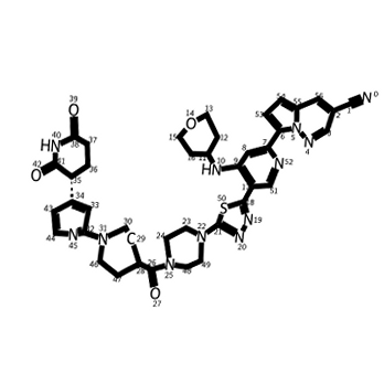 N#Cc1cnn2c(-c3cc(NC4CCOCC4)c(-c4nnc(N5CCN(C(=O)C6CCN(c7cc([C@H]8CCC(=O)NC8=O)ccn7)CC6)CC5)s4)cn3)ccc2c1